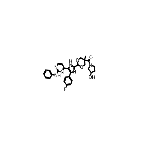 CC1(C(=O)N2CCC(O)C2)COC(c2nc(-c3ccc(F)cc3)c(-c3ccnc(Nc4ccccc4)n3)[nH]2)OC1